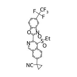 CCS(=O)(=O)c1c(-c2nc3cc(C(F)(F)C(F)(F)F)ccc3o2)ncc2cc(C3(C#N)CC3)ccc12